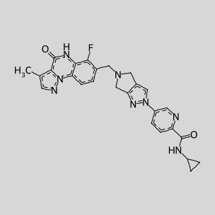 Cc1cnn2c1c(=O)[nH]c1c(F)c(CN3Cc4cn(-c5ccc(C(=O)NC6CC6)nc5)nc4C3)ccc12